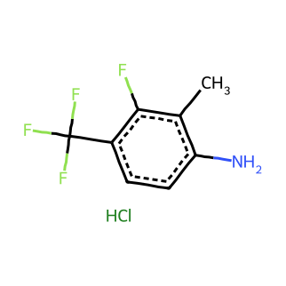 Cc1c(N)ccc(C(F)(F)F)c1F.Cl